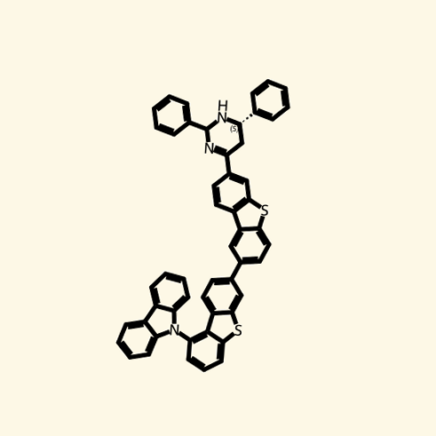 c1ccc(C2N=C(c3ccc4c(c3)sc3ccc(-c5ccc6c(c5)sc5cccc(-n7c8ccccc8c8ccccc87)c56)cc34)C[C@@H](c3ccccc3)N2)cc1